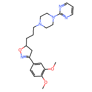 COc1ccc(C2=NOC(CCCN3CCN(c4ncccn4)CC3)C2)cc1OC